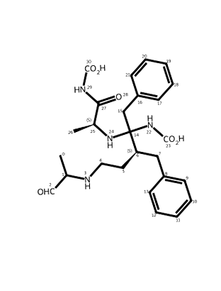 CC(C=O)NCC[C@H](Cc1ccccc1)C(Cc1ccccc1)(NC(=O)O)N[C@@H](C)C(=O)NC(=O)O